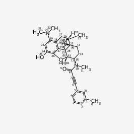 Cc1cccc(C#CC(=O)N(C)[C@@H]2CC[C@H]3[C@H]4Cc5c(N(C)C)cc(O)c6c5[C@@]3(CCN4C)[C@H]2O6)c1